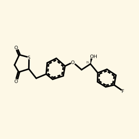 O=C1CC(=O)C(Cc2ccc(OC[C@@H](O)c3ccc(F)cc3)cc2)S1